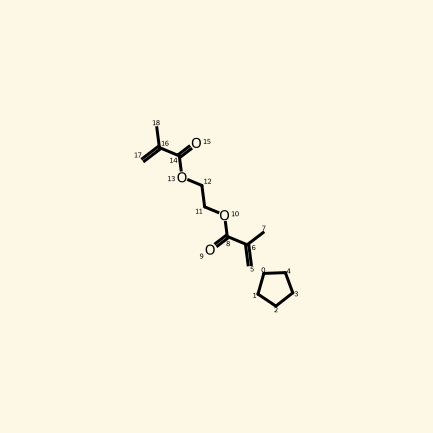 C1CCCC1.C=C(C)C(=O)OCCOC(=O)C(=C)C